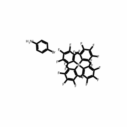 Fc1c(F)c(F)c([B-](c2c(F)c(F)c(F)c(F)c2F)(c2c(F)c(F)c(F)c(F)c2F)c2c(F)c(F)c(F)c(F)c2F)c(F)c1F.[NH3+]c1ccc(Br)cc1